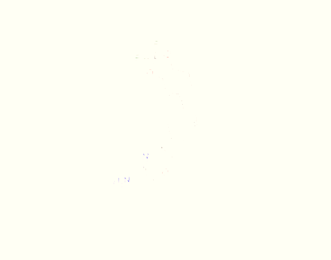 CC1(c2cccc(-c3ccc4c(c3)OC(F)(F)O4)c2)COCC(N)=N1